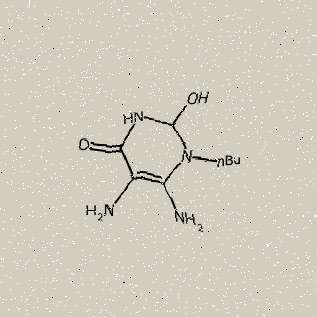 CCCCN1C(N)=C(N)C(=O)NC1O